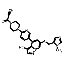 C#CC(=O)N1CCN(c2ccc(-c3cc(OCc4cncn4C)cn4ncc(C#N)c34)cn2)CC1